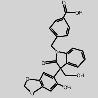 O=C(O)c1ccc(CN2C(=O)C(CO)(c3cc4c(cc3O)OCO4)c3ccccc32)cc1